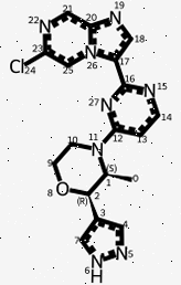 C[C@H]1[C@@H](c2cn[nH]c2)OCCN1c1ccnc(-c2cnc3cnc(Cl)cn23)n1